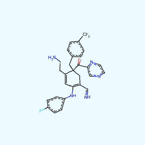 N=CC1=C(Nc2ccc(F)cc2)C=C(CCN)C(Cc2ccc(C(F)(F)F)cc2)(C(=O)c2cnccn2)C1